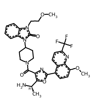 COCCn1c(=O)n(C2CCN(C(=O)c3nc(-c4ccc(OC)c5nc(C(F)(F)F)ccc45)oc3[C@@H](C)N)CC2)c2ccccc21